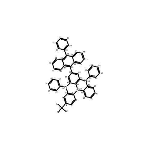 CC(C)(C)c1ccc2c(c1)N(c1ccccc1)c1cc(-c3c4ccccc4c(-c4ccccc4)c4ccccc34)cc3c1B2c1ccccc1N3c1ccccc1